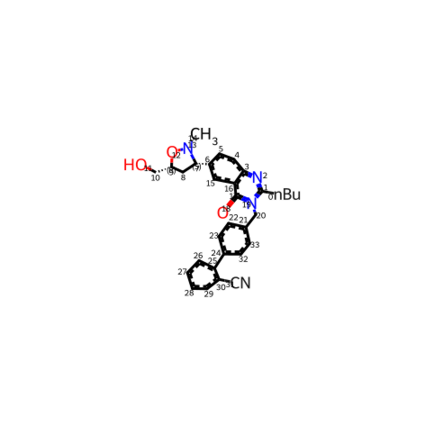 CCCCc1nc2ccc([C@@H]3C[C@H](CO)ON3C)cc2c(=O)n1Cc1ccc(-c2ccccc2C#N)cc1